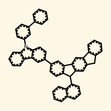 c1ccc(-c2cccc(-n3c4ccccc4c4cc(-c5ccc6c(c5)-c5cc7c(cc5C6c5cccc6ccccc56)Cc5ccccc5-7)ccc43)c2)cc1